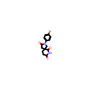 O=C1CCC2(CC(=O)N(c3ccc(Br)cc3)C2)C(=O)N1